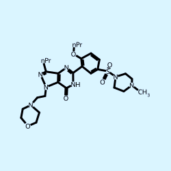 CCCOc1ccc(S(=O)(=O)N2CCN(C)CC2)cc1-c1nc2c(CCC)nn(CCN3CCOCC3)c2c(=O)[nH]1